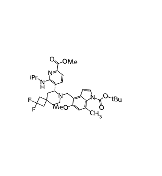 COC(=O)c1ccc([C@H]2CC3(CCN2Cc2c(OC)cc(C)c4c2ccn4C(=O)OC(C)(C)C)CC(F)(F)C3)c(NC(C)C)n1